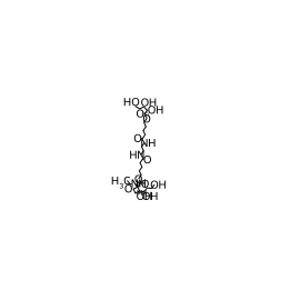 CC(=O)NC12CC[C@@]1(O)[C@@H](O)C(CO)O[C@H]2OCCCCC(=O)NCCNC(=O)CCCCO[C@H]1OC(CO)C(O)C1O